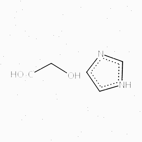 O=C(O)CO.c1c[nH]cn1